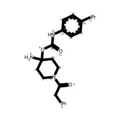 CC(C)CC(=O)N1CCC(N)(OC(=O)Nc2ccc(C(C)C)cc2)CC1